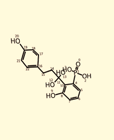 O=P(O)(O)c1cccc(O)c1C(O)(O)CCc1ccc(O)cc1